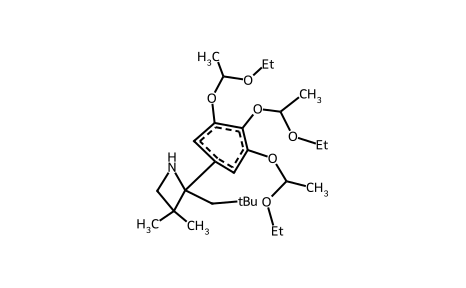 CCOC(C)Oc1cc(C2(CC(C)(C)C)NCC2(C)C)cc(OC(C)OCC)c1OC(C)OCC